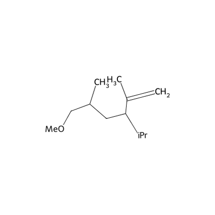 C=C(C)C(CC(C)COC)C(C)C